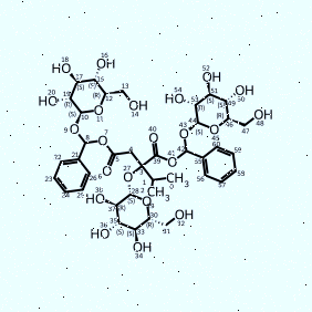 CC(C)C(CC(=O)OC(O[C@@H]1O[C@H](CO)[C@@H](O)[C@H](O)[C@H]1O)c1ccccc1)(O[C@@H]1O[C@H](CO)[C@@H](O)[C@H](O)[C@H]1O)C(=O)OC(O[C@@H]1O[C@H](CO)[C@@H](O)[C@H](O)[C@H]1O)c1ccccc1